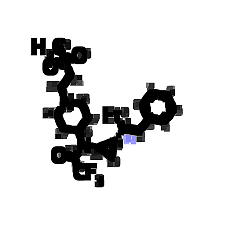 CC/C(=C\c1ccccc1)[C@@H]1C[C@H]1N(C(=O)C(F)(F)F)C1CCN(CCS(C)(=O)=O)CC1